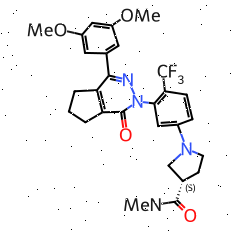 CNC(=O)[C@H]1CCN(c2ccc(C(F)(F)F)c(-n3nc(-c4cc(OC)cc(OC)c4)c4c(c3=O)CCC4)c2)C1